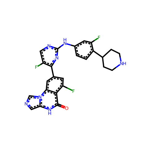 O=c1[nH]c2cncn2c2cc(-c3nc(Nc4ccc(C5CCNCC5)c(F)c4)ncc3F)cc(F)c12